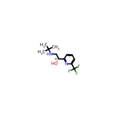 CC(C)(C)NC[C@@H](O)c1cccc(C(F)(F)F)n1